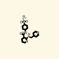 CS(=O)(=O)c1ccc(NC(=O)c2cccnc2NCc2ccncc2)cc1